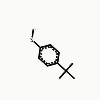 [CH2]Sc1ccc(C(C)(C)C)cc1